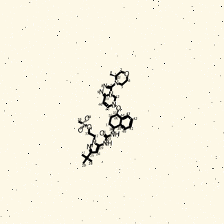 C[C@H]1COCCN1c1nnc2n1CN(O[C@@H]1CC[C@H](NC(=O)Nc3cc(C(C)(C)C)nn3CCOS(C)(=O)=O)c3ccccc31)C=C2